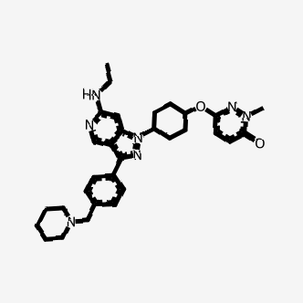 CCNc1cc2c(cn1)c(-c1ccc(CN3CCCCC3)cc1)nn2C1CCC(Oc2ccc(=O)n(C)n2)CC1